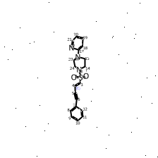 O=S(=O)(/C=C/C#Cc1ccccc1)N1CCN(c2ccccn2)CC1